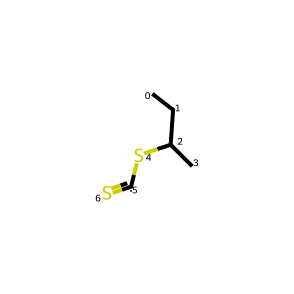 CCC(C)S[C]=S